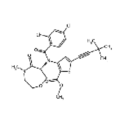 COC(=O)c1sc(C#CC(C)(C)C)cc1N(C(=O)c1ccc(Cl)cc1Cl)[C@H]1COCCN(C)C1=O